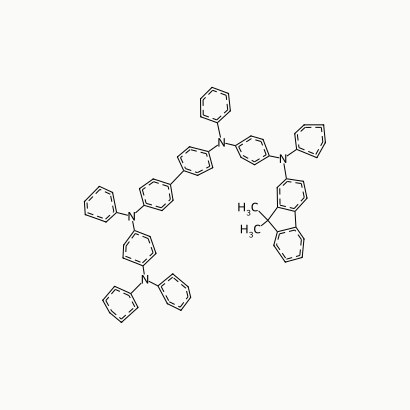 CC1(C)c2ccccc2-c2ccc(N(c3ccccc3)c3ccc(N(c4ccccc4)c4ccc(-c5ccc(N(c6ccccc6)c6ccc(N(c7ccccc7)c7ccccc7)cc6)cc5)cc4)cc3)cc21